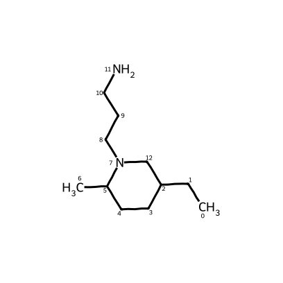 CCC1CCC(C)N(CCCN)C1